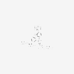 COC(=O)N=C(SC)C(=Nc1ccc(-c2noc(C)n2)cc1)c1cc(O)cc(OC)c1